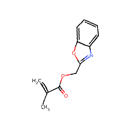 C=C(C)C(=O)OCc1nc2ccccc2o1